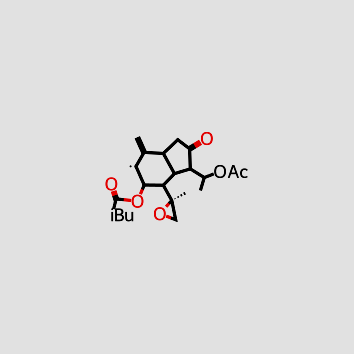 C=C1[CH]C(OC(=O)C(C)CC)C([C@@]2(C)CO2)C2C1CC(=O)C2C(C)OC(C)=O